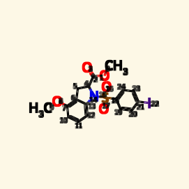 COC(=O)C1Cc2c(OC)cccc2N1S(=O)(=O)c1ccc(I)cc1